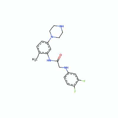 Cc1ccc(N2CCNCC2)cc1NC(=O)CNc1ccc(F)c(F)c1